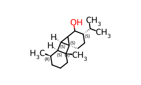 CC(C)[C@@H]1CC[C@@]23C(C1O)[C@@H]2[C@@H]1[C@H](C)CCC[C@]13C